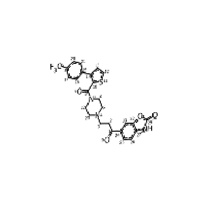 O=C(CCN1CCN(C(=O)c2sccc2-c2ccc(C(F)(F)F)cc2)CC1)c1ccc2[nH]c(=O)oc2c1